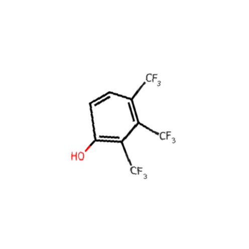 Oc1ccc(C(F)(F)F)c(C(F)(F)F)c1C(F)(F)F